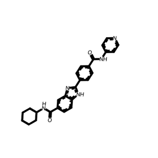 O=C(Nc1ccncc1)c1ccc(-c2nc3cc(C(=O)NC4CCCCC4)ccc3[nH]2)cc1